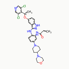 C=CC(=O)Nc1cc(N2CCC(N3CCOCC3)CC2)ccc1Nc1n[nH]c2ccc(O[C@H](C)c3c(Cl)cncc3Cl)cc12